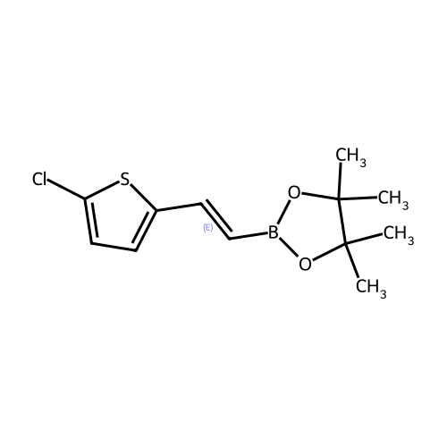 CC1(C)OB(/C=C/c2ccc(Cl)s2)OC1(C)C